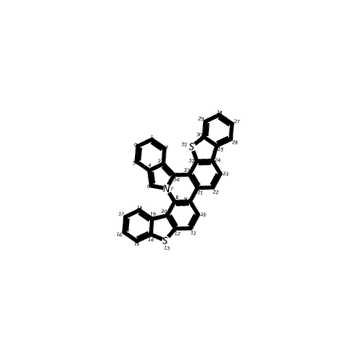 c1ccc2c(c1)cn1c3c(ccc4sc5ccccc5c43)c3ccc4c5ccccc5sc4c3c21